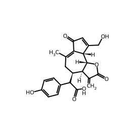 C=C1C(=O)O[C@H]2[C@H]3C(CO)=CC(=O)C3=C(C)C[C@H](C(C(=O)O)c3ccc(O)cc3)[C@H]12